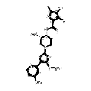 COc1ccnc(-c2nc(N3CC[C@@H](NC(=O)c4[nH]c(C)c(Cl)c4Cl)[C@@H](OC)C3)sc2OC(=O)O)c1